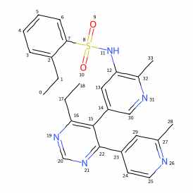 CCc1ccccc1S(=O)(=O)Nc1cc(-c2c(CC)ncnc2-c2ccnc(C)c2)cnc1C